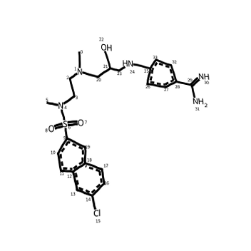 CN(CCN(C)S(=O)(=O)c1ccc2cc(Cl)ccc2c1)CC(O)CNc1ccc(C(=N)N)cc1